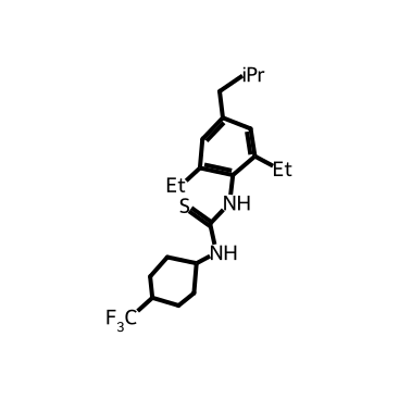 CCc1cc(CC(C)C)cc(CC)c1NC(=S)NC1CCC(C(F)(F)F)CC1